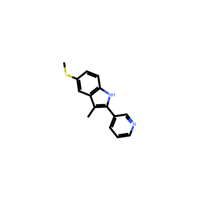 CSc1ccc2[nH]c(-c3cccnc3)c(C)c2c1